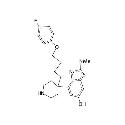 CNc1nc2c(C3(CCCCOc4ccc(F)cc4)CCNCC3)cc(O)cc2s1